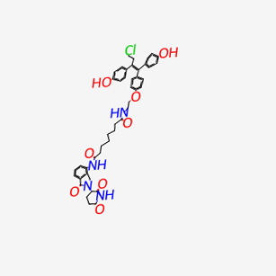 O=C(CCCCCCC(=O)Nc1cccc2c1CN(C1CCC(=O)NC1=O)C2=O)NCCOc1ccc(C(=C(CCCl)c2ccc(O)cc2)c2ccc(O)cc2)cc1